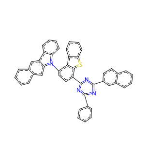 c1ccc(-c2nc(-c3ccc4ccccc4c3)nc(-c3ccc(-n4c5ccccc5c5cc6ccccc6cc54)c4c3sc3ccccc34)n2)cc1